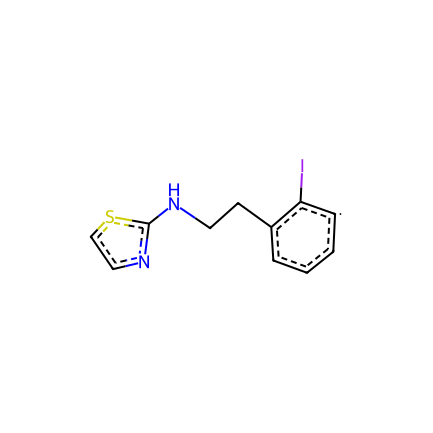 Ic1[c]cccc1CCNc1nccs1